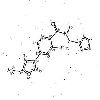 CN(Cc1cccs1)C(=O)c1ccc(-c2noc(C(F)(F)F)n2)cc1F